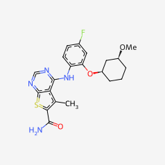 CO[C@H]1CCC[C@@H](Oc2cc(F)ccc2Nc2ncnc3sc(C(N)=O)c(C)c23)C1